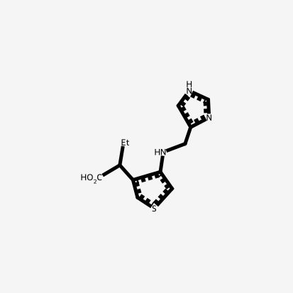 CCC(C(=O)O)c1cscc1NCc1c[nH]cn1